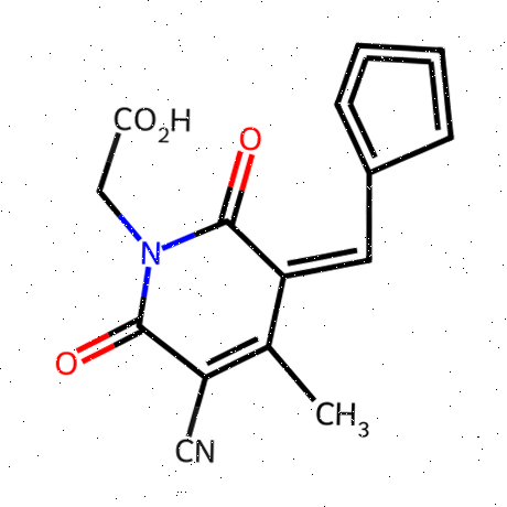 CC1=C(C#N)C(=O)N(CC(=O)O)C(=O)/C1=C\C1=C=C=C=C1